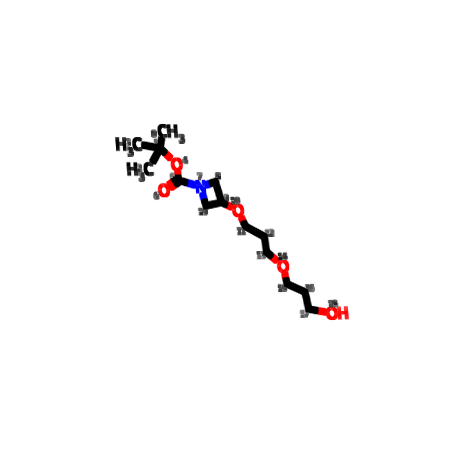 CC(C)(C)OC(=O)N1CC(OCCCOCCCO)C1